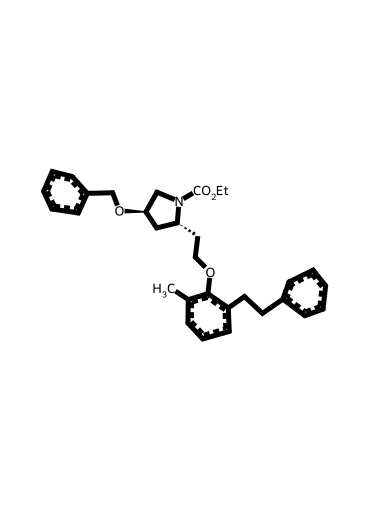 CCOC(=O)N1C[C@H](OCc2ccccc2)C[C@H]1CCOc1c(C)cccc1CCc1ccccc1